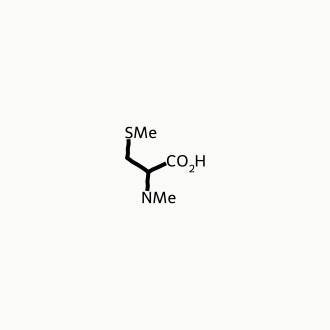 CNC(CSC)C(=O)O